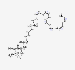 CC/C=C\C/C=C\C/C=C\C/C=C\C/C=C\C/C=C\CCC(=O)NCCCCOC(=O)NC(=N)NC(=N)N(C)C